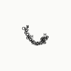 N#Cc1ccc(O[C@H]2CC[C@@H](NC(=O)c3ccc(N4CCC(CN5CCN(c6ccc7c(c6)C(=O)N(C6CCC(=O)NC6=O)C7=O)CC5)CC4)cc3)CC2)cc1Cl